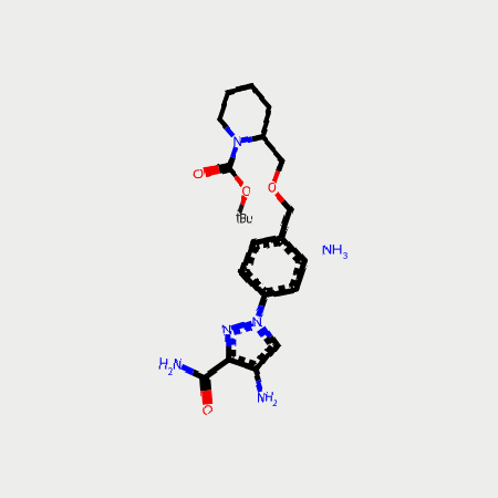 CC(C)(C)OC(=O)N1CCCCC1COCc1ccc(-n2cc(N)c(C(N)=O)n2)cc1.N